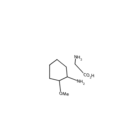 COC1CCCCC1N.NCC(=O)O